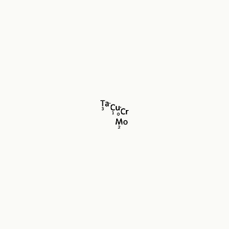 [Cr].[Cu].[Mo].[Ta]